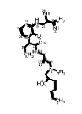 C=C(/C=C\C=C/C)CN(C)CC(=O)CNC(=O)C(CC)n1ccnc(NCC(=N)C(C)=N)c1=O